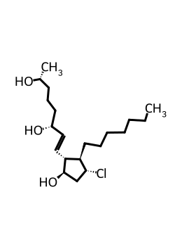 CCCCCCC[C@@H]1[C@@H](/C=C/[C@H](O)CCC[C@@H](C)O)[C@H](O)C[C@H]1Cl